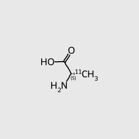 [11CH3][C@H](N)C(=O)O